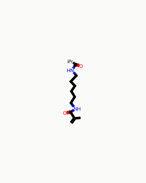 C=C(C)C(=O)NCCCCCCNC(=O)C(C)C